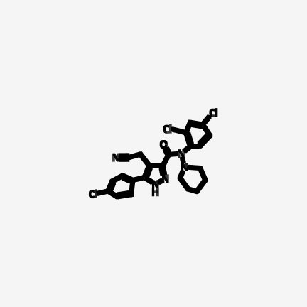 N#CCc1c(C(=O)N(c2ccc(Cl)cc2Cl)N2CCCCC2)n[nH]c1-c1ccc(Cl)cc1